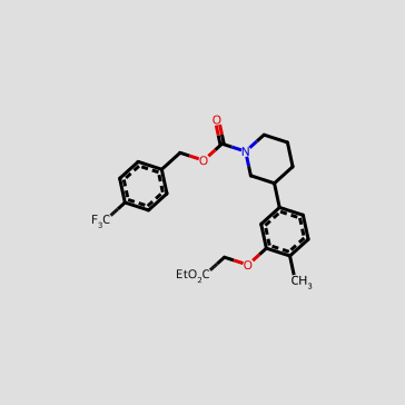 CCOC(=O)COc1cc(C2CCCN(C(=O)OCc3ccc(C(F)(F)F)cc3)C2)ccc1C